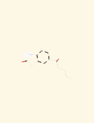 O=C1Cc2cc(C(=O)CCCCl)cc(F)c2N1